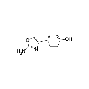 Nc1nc(-c2ccc(O)cc2)co1